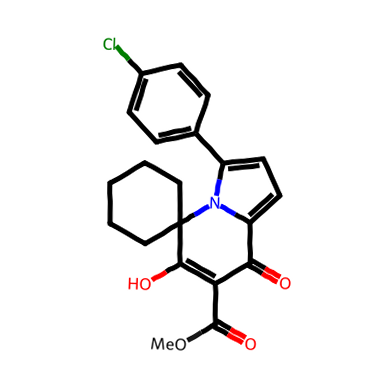 COC(=O)C1=C(O)C2(CCCCC2)n2c(ccc2-c2ccc(Cl)cc2)C1=O